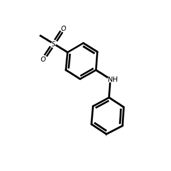 CS(=O)(=O)c1ccc(Nc2cc[c]cc2)cc1